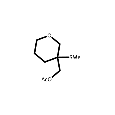 CSC1(COC(C)=O)CCCOC1